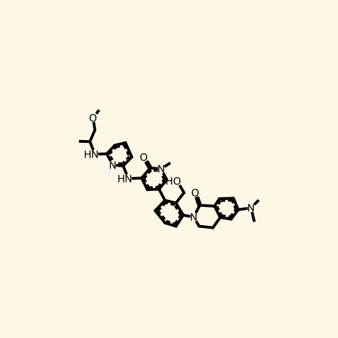 COCC(C)Nc1cccc(Nc2cc(-c3cccc(N4CCc5cc(N(C)C)ccc5C4=O)c3CO)cn(C)c2=O)n1